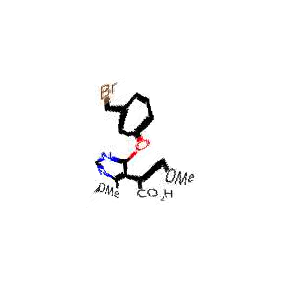 COC=C(C(=O)O)c1c(OC)ncnc1Oc1cccc(CBr)c1